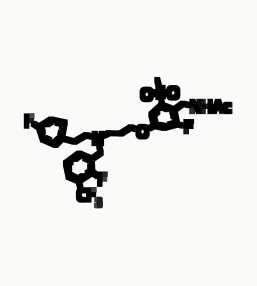 CC(=O)NCc1c(F)cc(OCCCN(CCc2ccc(F)cc2)Cc2cccc(C(F)(F)F)c2F)cc1S(C)(=O)=O